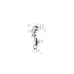 Cc1ccc(S(=O)(=O)N/N=C/c2ncc(NC(=O)OC(C)(C)C)s2)cc1